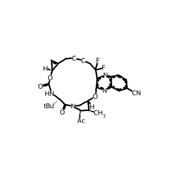 CC(=O)[C@@H]1[C@H](C)[C@@H]2CN1C(=O)[C@H](C(C)(C)C)NC(=O)O[C@@H]1C=C1CCCCC(F)(F)c1nc3ccc(C#N)cc3nc1O2